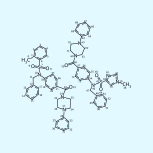 Cc1ccccc1S(=O)(=O)N(Cc1ccccc1)c1ccc(C(=O)N2CCN(c3ccccc3)CC2)cc1.Cn1cnc(S(=O)(=O)N(Cc2ccccc2)c2ccc(C(=O)N3CCN(c4ccccc4)CC3)cc2)c1